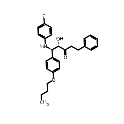 CCCCOc1ccc([C@@H](Nc2ccc(F)cc2)[C@H](O)C(=O)CCc2ccccc2)cc1